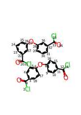 O=C(Cl)c1ccc(Oc2ccc(C(=O)Cl)cc2)cc1.O=C(Cl)c1cccc(Oc2cccc(C(=O)Cl)c2)c1